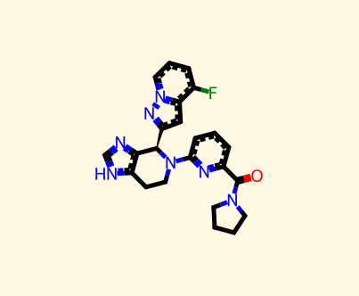 O=C(c1cccc(N2CCc3[nH]cnc3[C@H]2c2cc3c(F)cccn3n2)n1)N1CCCC1